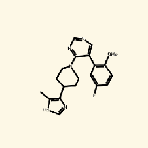 COc1ccc(F)cc1-c1cncnc1N1CCC(c2nc[nH]c2C)CC1